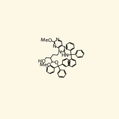 COc1ncc2nc(NC(c3ccccc3)(c3ccccc3)c3ccccc3)n(CCC(CO)C(OC)OC(c3ccccc3)(c3ccccc3)c3ccccc3)c2n1